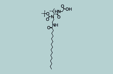 CCCCCCCCCCCCCCCC(=O)NCCN(C(=O)OC(C)(C)C)[C@H](C(=O)NCC(=O)O)C(C)C